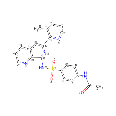 CC(=O)Nc1ccc(S(=O)(=O)Nc2nc(-c3ncccc3C)cc3cccnc23)cc1